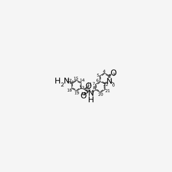 Cn1c(=O)ccc2cc(NS(=O)(=O)c3ccc(N)cc3)ccc21